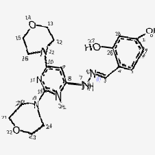 Oc1ccc(/C=N/Nc2cc(N3CCOCC3)nc(N3CCOCC3)n2)c(O)c1